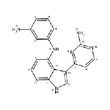 Nc1cccc(Nc2ccnc3[nH]cc(-c4ccnc(N)n4)c23)c1